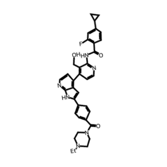 CCN1CCN(C(=O)c2ccc(-c3cc4c(-c5ccnc(NC(=O)c6ccc(C7CC7)cc6F)c5CO)ccnc4[nH]3)cc2)CC1